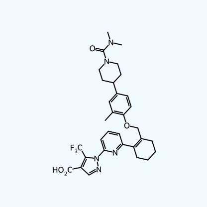 Cc1cc(C2CCN(C(=O)N(C)C)CC2)ccc1OCC1=C(c2cccc(-n3ncc(C(=O)O)c3C(F)(F)F)n2)CCCC1